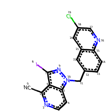 N#Cc1nccc2c1c(I)nn2Cc1ccc2ncc(Cl)cc2c1